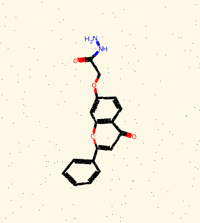 NNC(=O)COc1ccc2c(=O)cc(-c3ccccc3)oc2c1